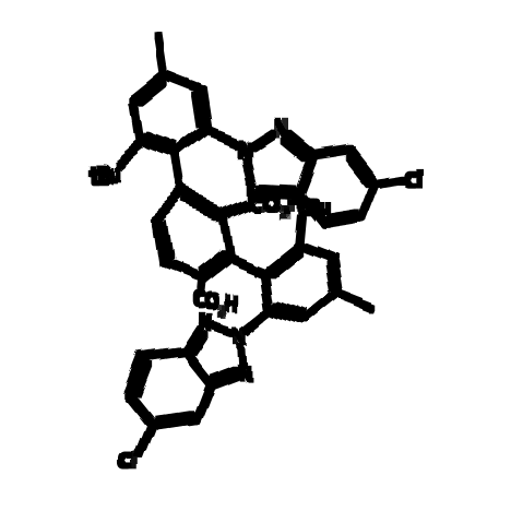 Cc1cc(-n2nc3ccc(Cl)cc3n2)c(-c2ccc(C(=O)O)c(-c3c(-n4nc5ccc(Cl)cc5n4)cc(C)cc3C(C)(C)C)c2C(=O)O)c(C(C)(C)C)c1